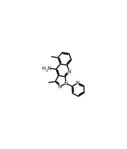 Cc1cccc2nc3c(c(C)nn3-c3ccccn3)c(N)c12